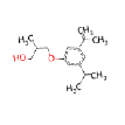 C=C(C)c1cc(OCC(C)CO)cc(C(=C)C)c1